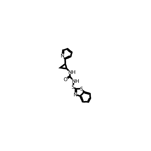 O=C(NSc1nc2ccccc2s1)NC1CC1c1ccccn1